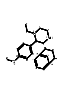 CCN1CCNCC1c1ccc(OC)cc1.c1cc2cc(c1)CCC2